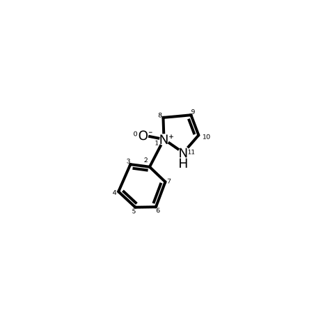 [O-][N+]1(c2ccccc2)CC=CN1